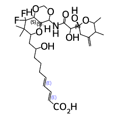 C=C1C[C@](O)(C(O)C(=O)NC2OCO[C@H]3[C@@H]2OC(CC(O)CCC/C=C/C=C/C(=O)O)C(C)(C)C3(F)F)OC(C)C1C